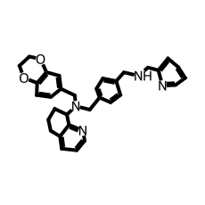 c1ccc(CNCc2ccc(CN(Cc3ccc4c(c3)OCCO4)C3CCCc4cccnc43)cc2)nc1